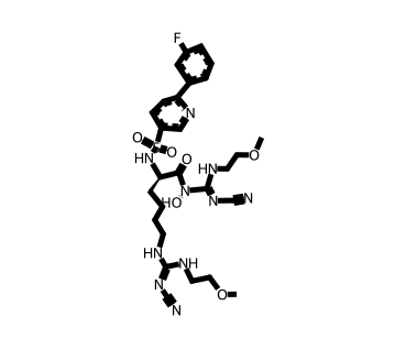 COCCN/C(=N\C#N)NCCCC[C@@H](NS(=O)(=O)c1ccc(-c2cccc(F)c2)nc1)C(=O)N(O)/C(=N/C#N)NCCOC